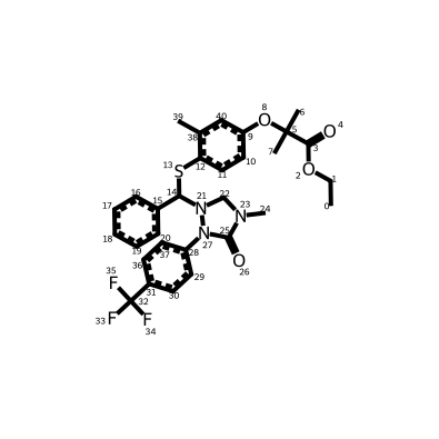 CCOC(=O)C(C)(C)Oc1ccc(SC(c2ccccc2)N2CN(C)C(=O)N2c2ccc(C(F)(F)F)cc2)c(C)c1